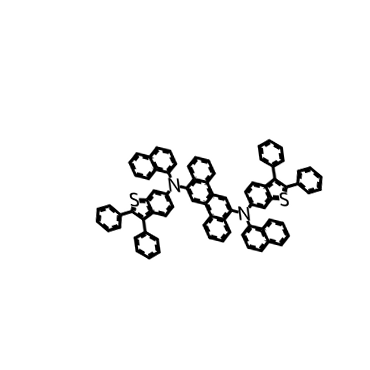 c1ccc(-c2sc3cc(N(c4cccc5ccccc45)c4cc5c6ccccc6c(N(c6ccc7c(-c8ccccc8)c(-c8ccccc8)sc7c6)c6cccc7ccccc67)cc5c5ccccc45)ccc3c2-c2ccccc2)cc1